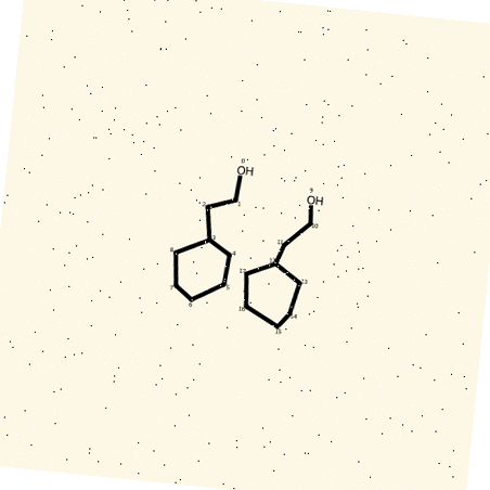 OCCC1CCCCC1.OCCC1CCCCC1